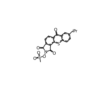 CC(C)c1ccc2sc3c4c(ccc3c(=O)c2c1)C(=O)N(OS(C)(=O)=O)C4=O